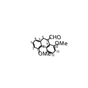 COc1cccc(CC(C=O)c2ccccc2OC)c1